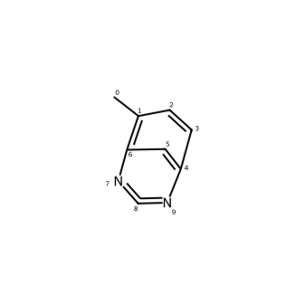 Cc1ccc2cc1N=C=N2